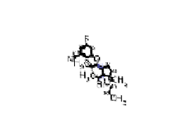 C=C/C(Oc1cc(F)cc(C#N)c1)=C1/CCC(C)(OCCC)/C1=C(/C)Br